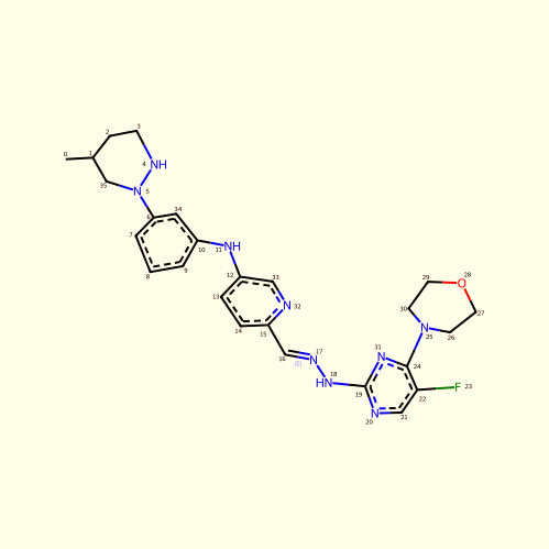 CC1CCNN(c2cccc(Nc3ccc(/C=N/Nc4ncc(F)c(N5CCOCC5)n4)nc3)c2)C1